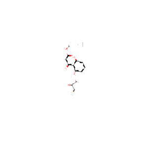 O=C(O)Oc1cc(=O)c2c(OCC(O)C=S)cccc2o1